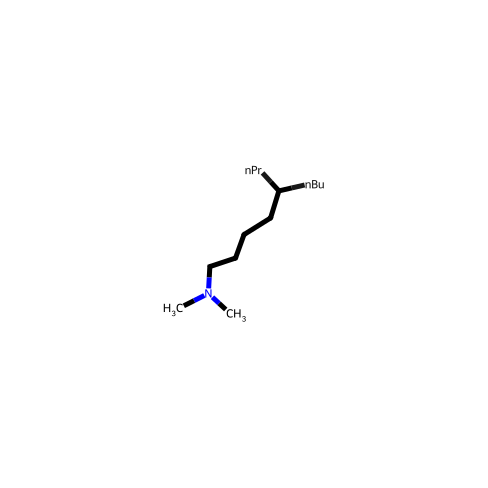 CCCCC(CCC)CCCCN(C)C